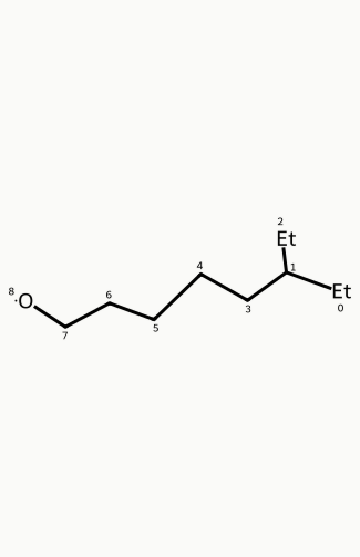 CCC(CC)CCCCC[O]